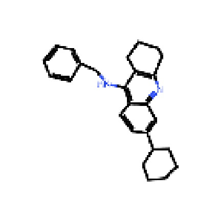 c1ccc(CNc2c3c(nc4cc(C5CCCCC5)ccc24)CCCC3)cc1